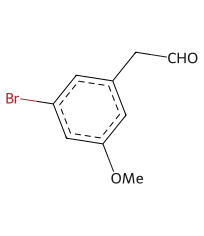 COc1cc(Br)cc(CC=O)c1